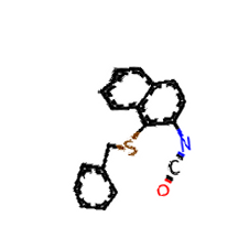 O=C=Nc1ccc2ccccc2c1SCc1ccccc1